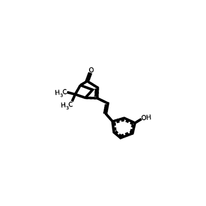 CC1(C)C2CC1C(C=Cc1cccc(O)c1)=CC2=O